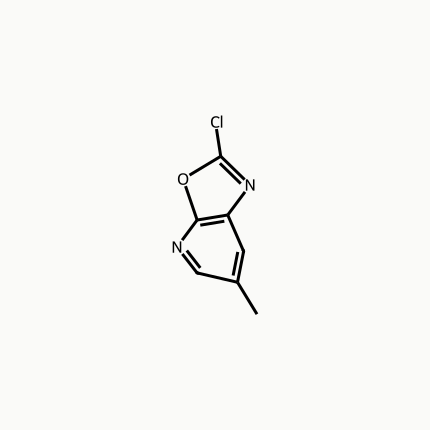 Cc1cnc2oc(Cl)nc2c1